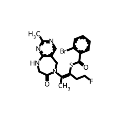 C/C(=C(\CCF)SC(=O)c1ccccc1Br)N1Cc2cnc(C)nc2NCC1=O